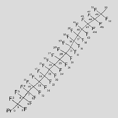 CC(C)C(F)(F)C(F)(F)C(F)(F)C(F)(F)C(F)(F)C(F)(F)C(F)(F)C(F)(F)C(F)(F)C(F)(F)C(F)(F)C(F)(F)C(F)(F)C(F)(F)C(F)(F)C(F)(F)C(C)(F)F